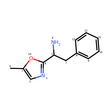 Cc1cnc(C(N)Cc2ccccc2)o1